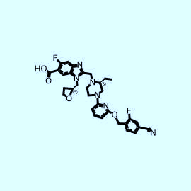 CC[C@H]1CN(c2cccc(OCc3ccc(C#N)cc3F)n2)CCN1Cc1nc2cc(F)c(C(=O)O)cc2n1C[C@@H]1CCO1